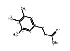 Cc1cc(CCC(=O)OCC(C)C)cc(C)c1O